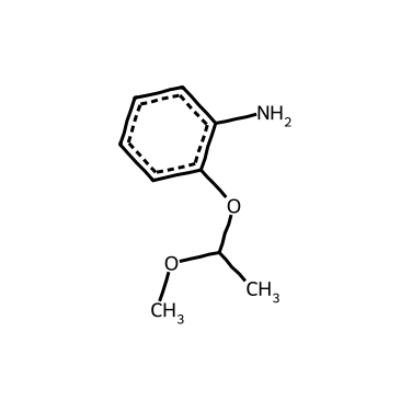 COC(C)Oc1ccccc1N